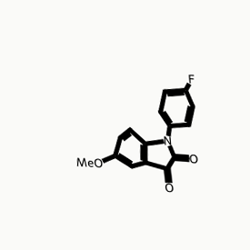 COc1ccc2c(c1)C(=O)C(=O)N2c1ccc(F)cc1